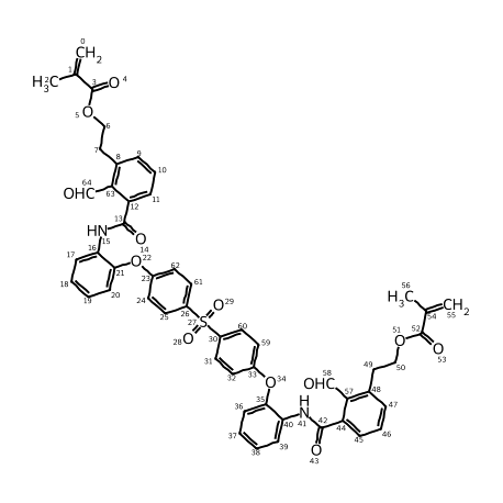 C=C(C)C(=O)OCCc1cccc(C(=O)Nc2ccccc2Oc2ccc(S(=O)(=O)c3ccc(Oc4ccccc4NC(=O)c4cccc(CCOC(=O)C(=C)C)c4C=O)cc3)cc2)c1C=O